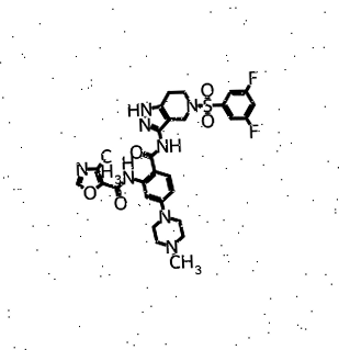 Cc1ncoc1C(=O)Nc1cc(N2CCN(C)CC2)ccc1C(=O)Nc1n[nH]c2c1CN(S(=O)(=O)c1cc(F)cc(F)c1)CC2